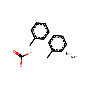 Cc1ccccc1.Cc1ccccc1.O=C([O-])[O-].[Na+].[Na+]